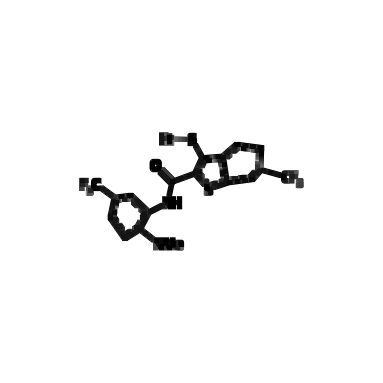 CCSc1c(C(=O)Nc2cc(C(F)(F)F)ccc2NC)sc2cc(C(F)(F)F)ccc12